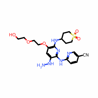 N#Cc1ccc(Nc2nc(NC3CCS(=O)(=O)CC3)c(OCCOCCO)cc2NN)nc1